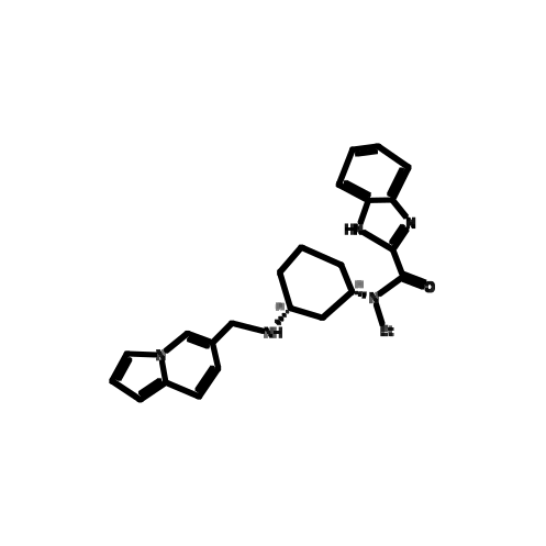 CCN(C(=O)c1nc2ccccc2[nH]1)[C@H]1CCC[C@@H](NCc2ccc3cccn3c2)C1